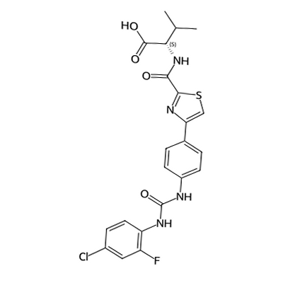 CC(C)[C@H](NC(=O)c1nc(-c2ccc(NC(=O)Nc3ccc(Cl)cc3F)cc2)cs1)C(=O)O